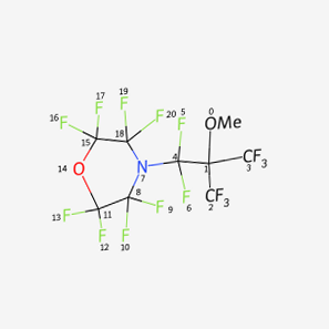 COC(C(F)(F)F)(C(F)(F)F)C(F)(F)N1C(F)(F)C(F)(F)OC(F)(F)C1(F)F